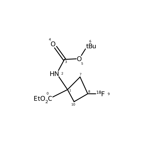 CCOC(=O)C1(NC(=O)OC(C)(C)C)CC([18F])C1